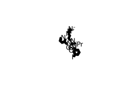 CC(C)c1nc(CCN=[N+]=[N-])n(Cc2cccnc2)c1S(=O)(=O)Oc1cccc(F)c1